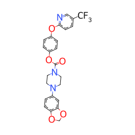 O=C(Oc1ccc(Oc2ccc(C(F)(F)F)cn2)cc1)N1CCN(c2ccc3c(c2)OCO3)CC1